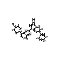 Fc1ccc(-c2cncc3[nH]c(-c4n[nH]c5ccc(-c6cnccn6)nc45)nc23)cc1